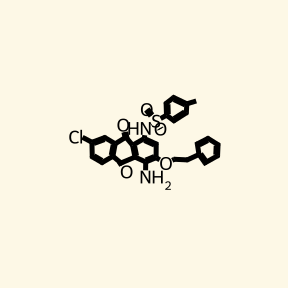 Cc1ccc(S(=O)(=O)Nc2cc(OCCc3ccccc3)c(N)c3c2C(=O)c2cc(Cl)ccc2C3=O)cc1